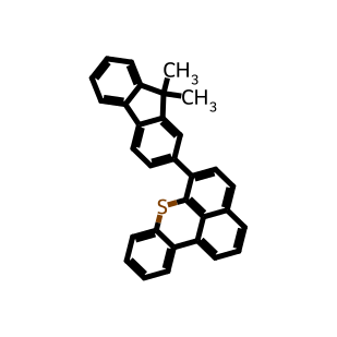 CC1(C)c2ccccc2-c2ccc(-c3ccc4cccc5c4c3Sc3ccccc3-5)cc21